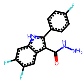 NNC(=O)c1c(-c2ccc(F)cc2)[nH]c2cc(F)c(F)cc12